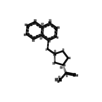 NC(=O)[C@H]1CCN(Cc2ccnc3ccccc23)C1